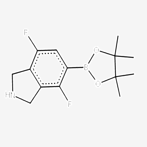 CC1(C)OB(c2cc(F)c3c(c2F)CNC3)OC1(C)C